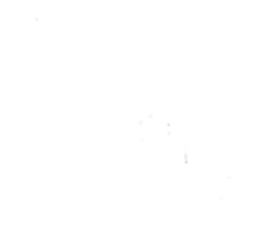 CCCCCCC1CCC(c2ccc(C=CCCC(F)(F)F)cc2)CC1